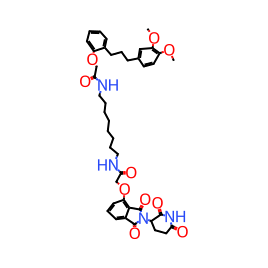 COc1ccc(CCCc2ccccc2OCC(=O)NCCCCCCCCNC(=O)COc2cccc3c2C(=O)N(C2CCC(=O)NC2=O)C3=O)cc1OC